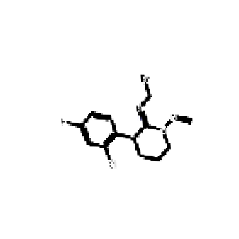 C=NN1CCCC(c2ccc(F)cc2Cl)/C1=N/CBr